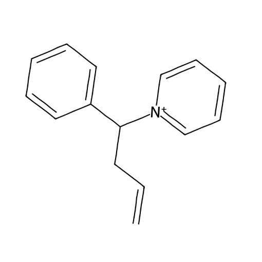 C=CCC(c1ccccc1)[n+]1ccccc1